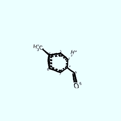 Cc1ccc(C=O)cc1.[H+]